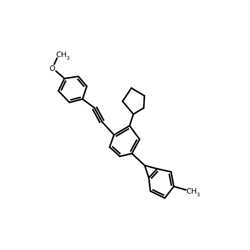 COc1ccc(C#Cc2ccc(C3c4ccc(C)cc43)cc2C2CCCC2)cc1